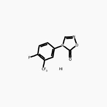 I.O=c1oncn1-c1ccc(F)c(C(F)(F)F)c1